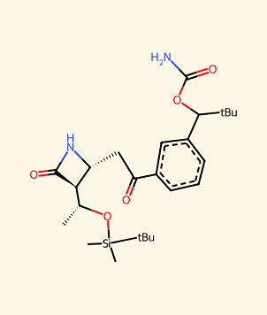 C[C@@H](O[Si](C)(C)C(C)(C)C)[C@H]1C(=O)N[C@@H]1CC(=O)c1cccc(C(OC(N)=O)C(C)(C)C)c1